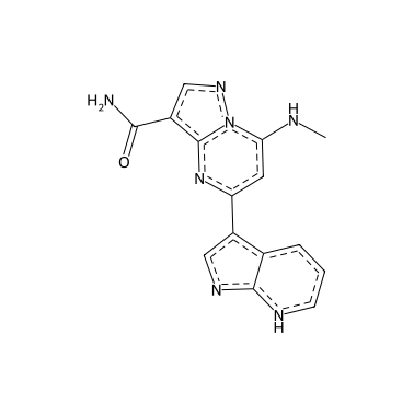 CNc1cc(-c2cnc3[nH]cccc2-3)nc2c(C(N)=O)cnn12